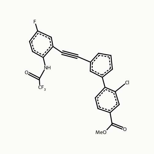 COC(=O)c1ccc(-c2cccc(C#Cc3cc(F)ccc3NC(=O)C(F)(F)F)c2)c(Cl)c1